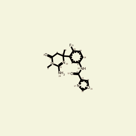 CN1C(=O)CC(C)(c2cc(NC(=O)c3cocn3)ccc2F)N=C1N